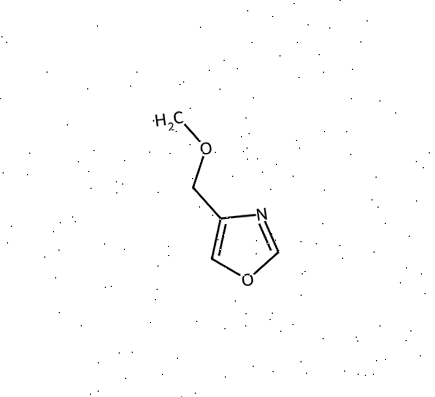 [CH2]OCc1cocn1